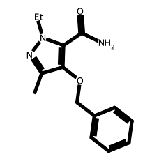 CCn1nc(C)c(OCc2ccccc2)c1C(N)=O